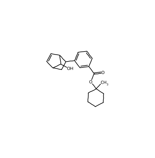 CC1(OC(=O)c2cccc(C3CC4C=CC3C4O)c2)CCCCC1